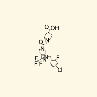 O=C(O)C1CCN(CC(=O)N2CCc3c(C(F)(F)F)nn(Cc4ccc(Cl)cc4F)c3C2)CC1